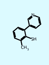 Cc1cccc(-c2cccnc2)c1S